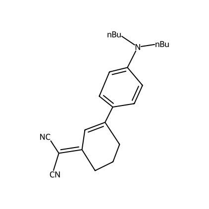 CCCCN(CCCC)c1ccc(C2=CC(=C(C#N)C#N)CCC2)cc1